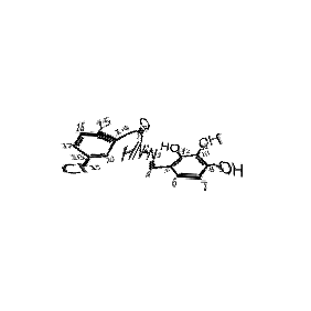 O=C(NN=Cc1ccc(O)c(O)c1O)c1cccc(Cl)c1